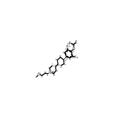 COCCC[Si@H]1CC[C@H]([C@H]2CC[C@H](c3cc(F)c(OC(F)F)c(F)c3)CC2)CC1